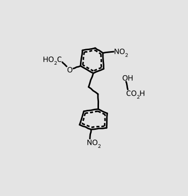 O=C(O)O.O=C(O)Oc1ccc([N+](=O)[O-])cc1CCc1ccc([N+](=O)[O-])cc1